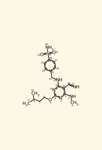 CNc1nc(OCCC(C)C)nc(NCc2ccc(S(N)(=O)=O)cc2)c1C=N